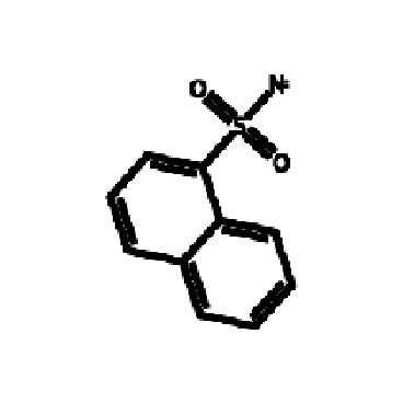 [N]S(=O)(=O)c1cccc2ccccc12